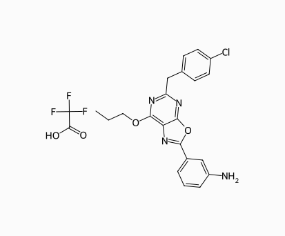 CCCOc1nc(Cc2ccc(Cl)cc2)nc2oc(-c3cccc(N)c3)nc12.O=C(O)C(F)(F)F